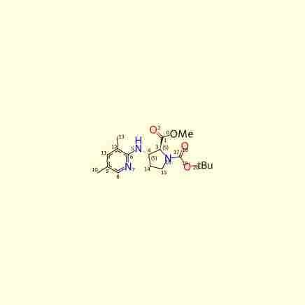 COC(=O)[C@@H]1[C@@H](Nc2ncc(C)cc2C)CCN1C(=O)OC(C)(C)C